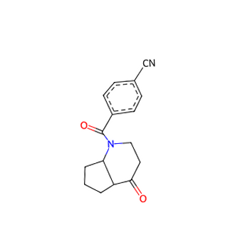 N#Cc1ccc(C(=O)N2CCC(=O)C3CCCC32)cc1